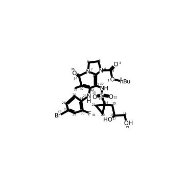 CCCCOC(=O)N1CCn2c1c(NS(=O)(=O)C1(CC(O)CO)CC1)c(Nc1ccc(Br)cc1F)c(C)c2=O